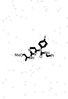 COCC(C)Nc1nccc(N(C(=O)NCC(C)C)c2ccc(F)cc2)n1